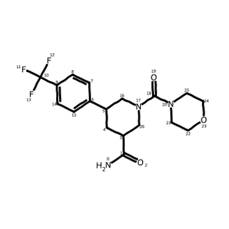 NC(=O)C1CC(c2ccc(C(F)(F)F)cc2)CN(C(=O)N2CCOCC2)C1